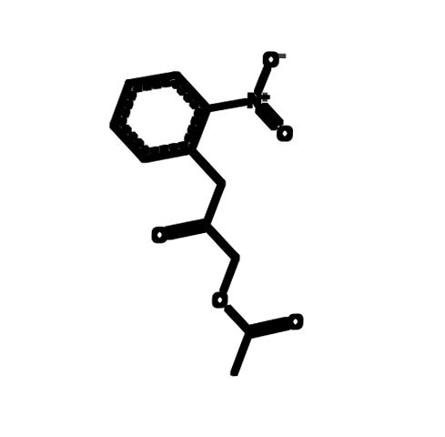 CC(=O)OCC(=O)Cc1ccccc1[N+](=O)[O-]